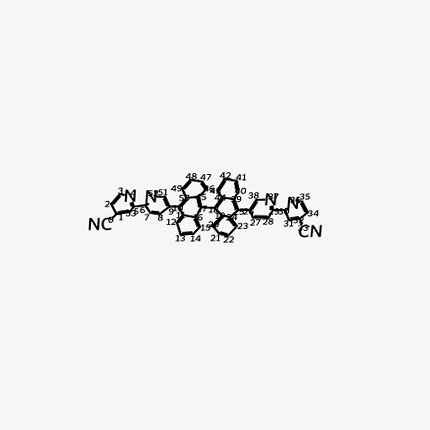 N#Cc1ccnc(-c2ccc(-c3c4ccccc4c(-c4c5ccccc5c(-c5ccc(-c6cc(C#N)ccn6)nc5)c5ccccc45)c4ccccc34)cn2)c1